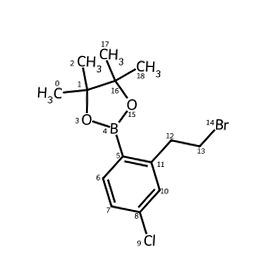 CC1(C)OB(c2ccc(Cl)cc2CCBr)OC1(C)C